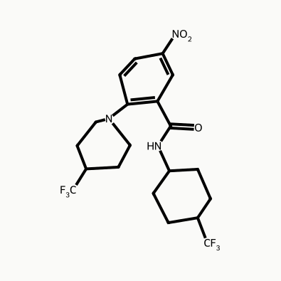 O=C(NC1CCC(C(F)(F)F)CC1)c1cc([N+](=O)[O-])ccc1N1CCC(C(F)(F)F)CC1